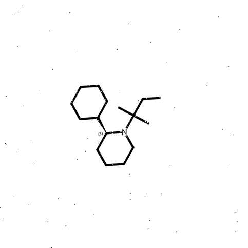 CCC(C)(C)N1CCCC[C@H]1C1CCCCC1